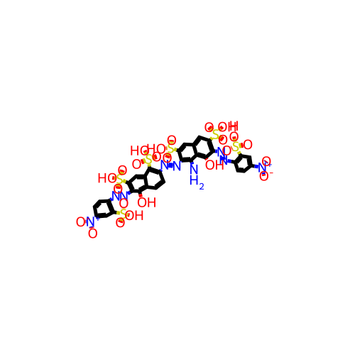 Nc1c(N=Nc2ccc3c(O)c(N=Nc4ccc([N+](=O)[O-])cc4S(=O)(=O)O)c(S(=O)(=O)O)cc3c2S(=O)(=O)O)c(S(=O)(=O)O)cc2cc(S(=O)(=O)O)c(N=Nc3ccc([N+](=O)[O-])cc3S(=O)(=O)O)c(O)c12